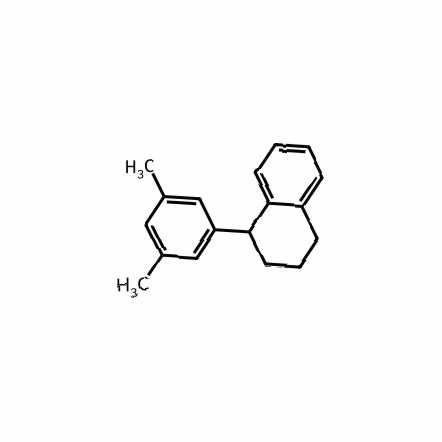 Cc1cc(C)cc(C2CCCc3ccccc32)c1